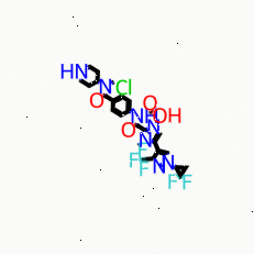 CN(C(=O)c1ccc(NC(=O)c2ncc(-c3cn(C4CC4(F)F)nc3C(F)(F)F)n2C)cc1Cl)C1CCNCC1.O=CO